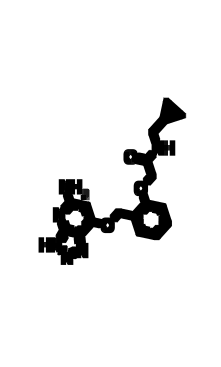 Nc1cc(OCc2ccccc2OCC(=O)NCC2CC2)c2nn[nH]c2n1